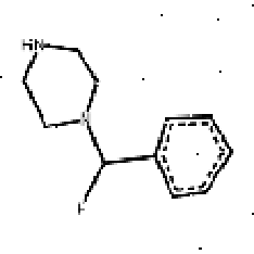 FC(c1ccccc1)N1CCNCC1